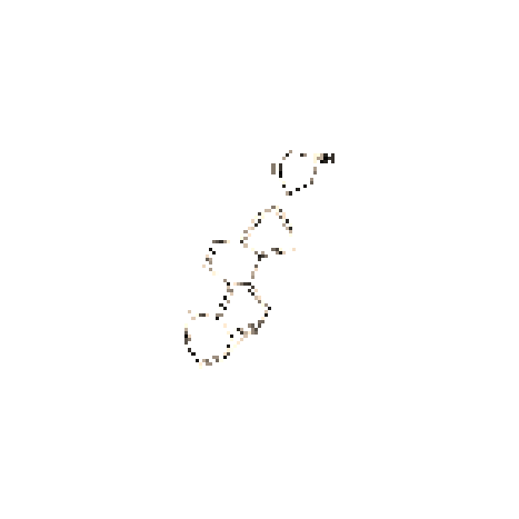 C1CNCN1.c1ccc2c(c1)ccc1c3cccc4c3cc(c21)C4